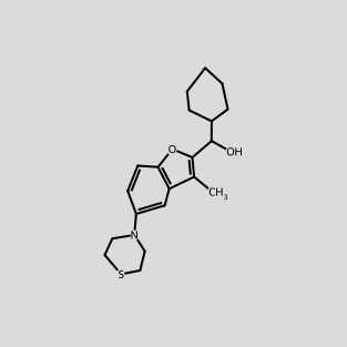 Cc1c(C(O)C2CCCCC2)oc2ccc(N3CCSCC3)cc12